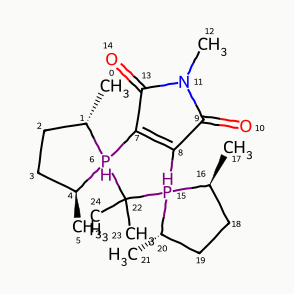 C[C@H]1CC[C@H](C)[PH]12C1=C(C(=O)N(C)C1=O)[PH]1([C@@H](C)CC[C@@H]1C)C2(C)C